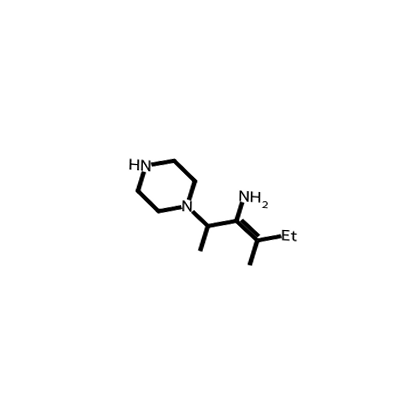 CC/C(C)=C(\N)C(C)N1CCNCC1